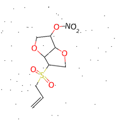 C=CCS(=O)(=O)C1COC2C(O[N+](=O)[O-])COC21